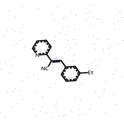 [CH2]Cc1cccc(/C=C(\C#N)c2ccccn2)c1